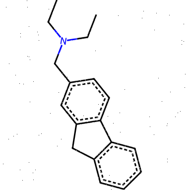 CCN(CC)Cc1ccc2c(c1)Cc1ccccc1-2